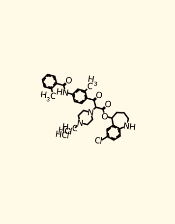 Cc1ccccc1C(=O)Nc1ccc(C(=O)C(C(=O)OC2CCCNc3ccc(Cl)cc32)N2CCN(C)CC2)c(C)c1.Cl.Cl